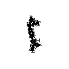 C=C1C[C@@H](c2ncc(-c3cc4cc5sc(-c6cnc([C@@H]7CC(=C)CN7C(=O)OC(C)(C)C)[nH]6)cc5cc4s3)[nH]2)N(C(=O)OC(C)(C)C)C1